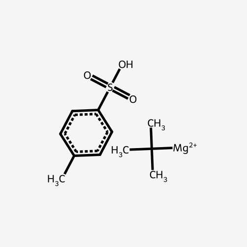 C[C](C)(C)[Mg+2].Cc1ccc(S(=O)(=O)O)cc1